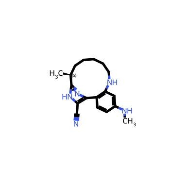 CNc1ccc2c(c1)NCCCCC[C@H](C)c1nc-2c(C#N)[nH]1